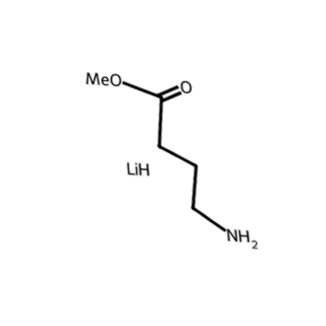 COC(=O)CCCN.[LiH]